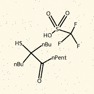 CCCCCC(=O)C(S)(CCCC)CCCC.O=S(=O)(O)C(F)(F)F